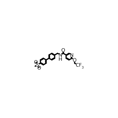 CS(=O)(=O)c1ccc(-c2ccc(CNC(=O)c3ccc(OCC(F)(F)F)nc3)cc2)cc1